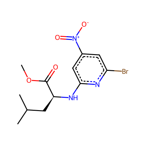 COC(=O)[C@H](CC(C)C)Nc1cc([N+](=O)[O-])cc(Br)n1